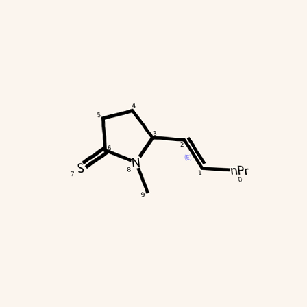 CCC/C=C/C1CCC(=S)N1C